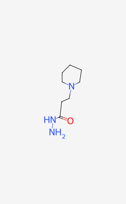 NNC(=O)CCN1CCCCC1